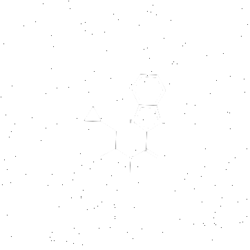 CC(CC1CC1)N(C)C(=O)c1nc2cccnc2[nH]1